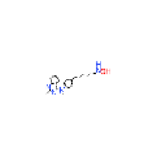 Cc1nc(N(C)c2ccc(CCCCCCNO)cc2)c2ccccc2n1